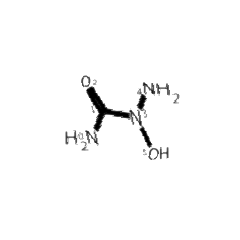 NC(=O)N(N)O